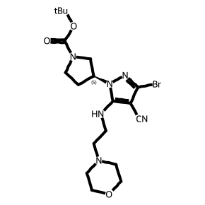 CC(C)(C)OC(=O)N1CC[C@H](n2nc(Br)c(C#N)c2NCCN2CCOCC2)C1